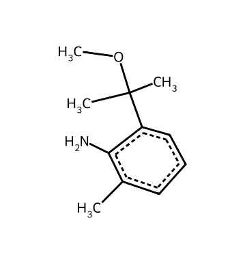 COC(C)(C)c1cccc(C)c1N